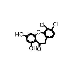 O=C1Cc2ccc(Cl)c(Cl)c2Oc2cc(O)cc(O)c21